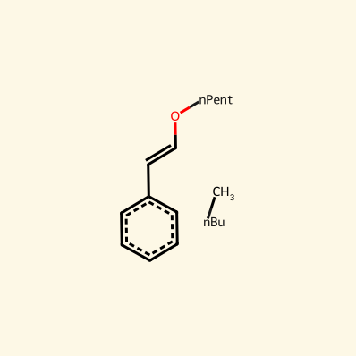 CCCCC.CCCCCOC=Cc1ccccc1